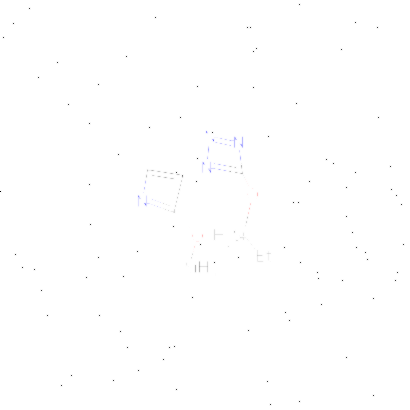 CC[SiH2]OC1=NN=N1.[SiH3]OC1=NC=C1